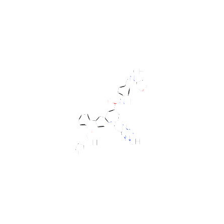 C1CCOC1.CCOc1ccccc1-c1ccc2c(c1)C=C(C(=O)Nc1ccc(CN(C)C3CCOCC3)cc1)CCN2Cc1nnn(C)n1